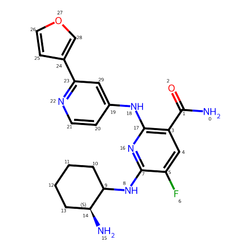 NC(=O)c1cc(F)c(NC2CCCC[C@@H]2N)nc1Nc1ccnc(-c2ccoc2)c1